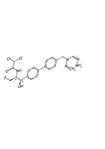 C=NN(/C=N\N)Cc1ccc(-c2ccc([C@@H](O)[C@@H](CF)NC(=O)C(Cl)Cl)cc2)cc1